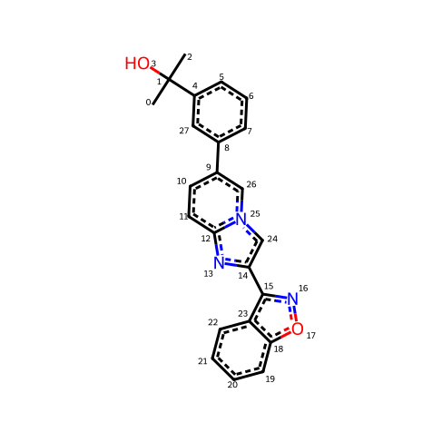 CC(C)(O)c1cccc(-c2ccc3nc(-c4noc5ccccc45)cn3c2)c1